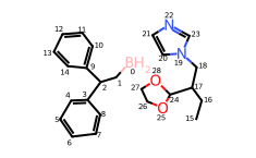 BCC(c1ccccc1)c1ccccc1.CCC(Cn1ccnc1)C1OCCO1